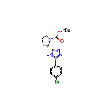 CC(C)(C)OC(=O)N1CCC[C@H]1c1nnc(-c2ccc(Br)cc2)[nH]1